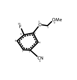 COCOc1cc(C#N)ccc1F